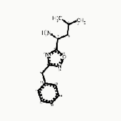 CC(C)C[C@H](N)c1nc(Cc2ccccc2)no1